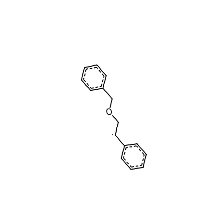 [CH](COCc1ccccc1)c1ccccc1